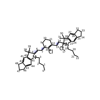 CCCCN1/C(=C\C=C2/CCCC(/C=C/C3(OC)N(CCCC)c4cc5c(cc4C3(C)C)CCC5)=C2Cl)C(C)(C)c2cc3c(cc21)CCC3